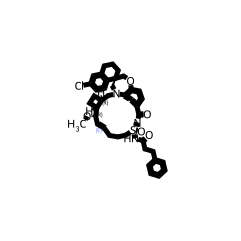 CO[C@H]1/C=C/CCCS(=O)(NC(=O)CCc2ccccc2)=NC(=O)c2ccc3c(c2)N(C[C@@H]2CC[C@H]21)C[C@@]1(CCCc2cc(Cl)ccc21)CO3